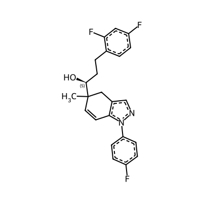 CC1([C@@H](O)CCc2ccc(F)cc2F)C=Cc2c(cnn2-c2ccc(F)cc2)C1